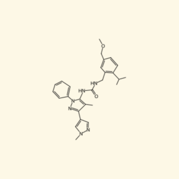 COCc1ccc(C(C)C)c(CNC(=O)Nc2c(C)c(-c3cnn(C)c3)nn2-c2ccccc2)c1